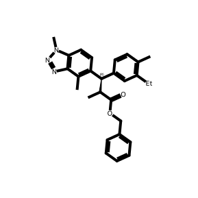 CCc1cc([C@H](c2ccc3c(nnn3C)c2C)C(C)C(=O)OCc2ccccc2)ccc1C